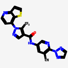 N#Cc1cc(NC(=O)c2cnn(-c3ccnc4ccsc34)c2C(F)(F)F)cnc1-n1nccn1